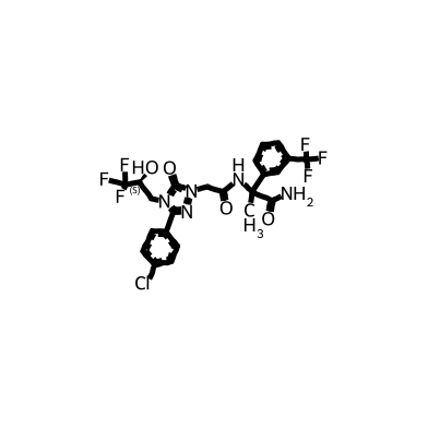 CC(NC(=O)Cn1nc(-c2ccc(Cl)cc2)n(C[C@H](O)C(F)(F)F)c1=O)(C(N)=O)c1cccc(C(F)(F)F)c1